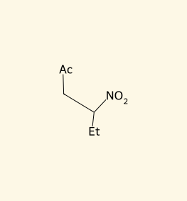 CCC(CC(C)=O)[N+](=O)[O-]